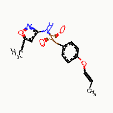 CC=COc1ccc(S(=O)(=O)Nc2cc(C)on2)cc1